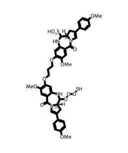 COc1ccc(C2=CN3C(=O)c4cc(OC)c(OCCCOc5cc6c(cc5OC)C(=O)N5C=C(c7ccc(OC)cc7)C[C@H]5C(S(=O)(=O)O)N6)cc4NC(OOOS)[C@@H]3C2)cc1